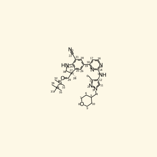 Cc1nn(CC2CCOCC2)cc1Nc1nccc(-c2cc(C#N)c3c(c2)[C@@](C)(CO[Si](C)(C)C(C)(C)C)CN3)n1